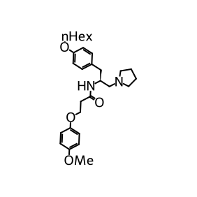 CCCCCCOc1ccc(C[C@@H](CN2CCCC2)NC(=O)CCOc2ccc(OC)cc2)cc1